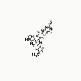 CNc1cc2c(cn1)c(-c1cnn(C)c1)nn2[C@H]1CC[C@@H](Oc2ccnc(C#N)n2)CC1